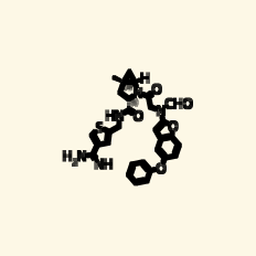 C[C@@]12C[C@@H]1N(C(=O)CN(C=O)c1cc3cc(Oc4ccccc4)ccc3o1)[C@H](C(=O)NCc1cc(C(=N)N)cs1)C2